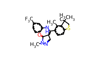 Cc1c(/C(Nc2cccc(C(F)(F)F)c2)=C2\C=NN(C)C2=O)ccc2c1C(C)(C)CS2